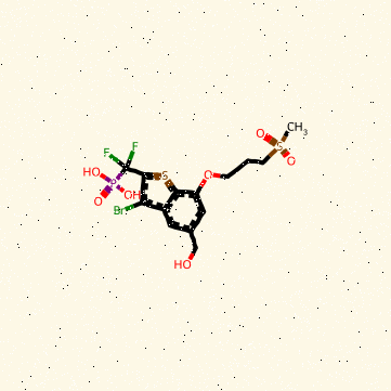 CS(=O)(=O)CCCOc1cc(CO)cc2c(Br)c(C(F)(F)P(=O)(O)O)sc12